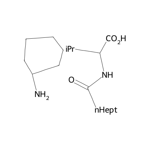 CCCCCCCC(=O)NC(C(=O)O)C(C)C.NC1CCCCC1